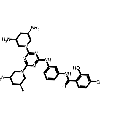 C[C@H]1C[C@@H](N)CN(c2nc(Nc3cccc(NC(=O)c4ccc(Cl)cc4O)c3)nc(N3C[C@H](N)C[C@H](N)C3)n2)C1